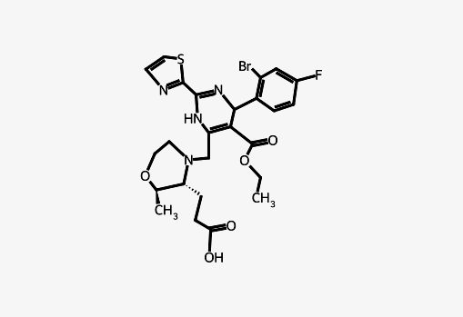 CCOC(=O)C1=C(CN2CCO[C@H](C)[C@H]2CCC(=O)O)NC(c2nccs2)=NC1c1ccc(F)cc1Br